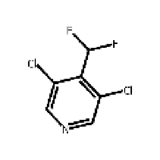 FC(F)c1c(Cl)cncc1Cl